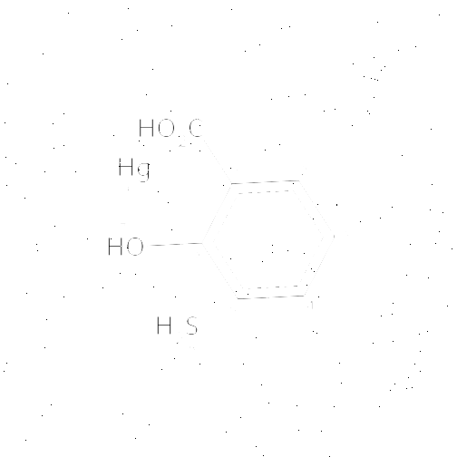 O=C(O)c1ccccc1O.S.[Hg]